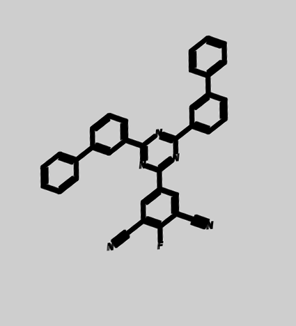 N#Cc1cc(-c2nc(-c3cccc(-c4ccccc4)c3)nc(-c3cccc(-c4ccccc4)c3)n2)cc(C#N)c1F